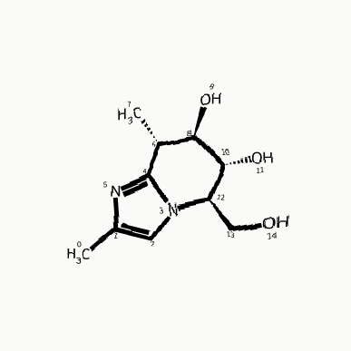 Cc1cn2c(n1)[C@H](C)[C@@H](O)[C@H](O)[C@H]2CO